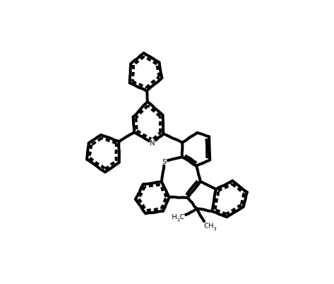 CC1(C)C2=C(C3=C(Sc4ccccc42)C(c2cc(-c4ccccc4)cc(-c4ccccc4)n2)CC=C3)c2ccccc21